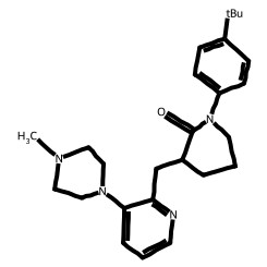 CN1CCN(c2cccnc2CC2CCCN(c3ccc(C(C)(C)C)cc3)C2=O)CC1